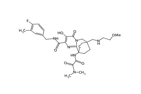 COCCNCC12CCC(NC(=O)C(=O)N(C)C)(CC1)c1nc(C(=O)NCc3ccc(F)c(C)c3)c(O)c(=O)n1C2